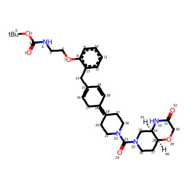 CC(C)(C)OC(=O)NCCOc1ccccc1CC1=CCC(=C2CCN(C(=O)N3CC[C@@H]4OCC(=O)N[C@@H]4C3)CC2)C=C1